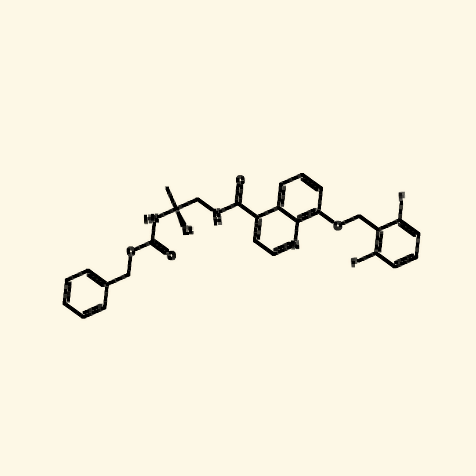 CC[C@@](C)(CNC(=O)c1ccnc2c(OCc3c(F)cccc3F)cccc12)NC(=O)OCc1ccccc1